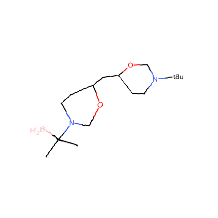 BC(C)(C)N1CCC(CC2CCN(C(C)(C)C)CO2)OC1